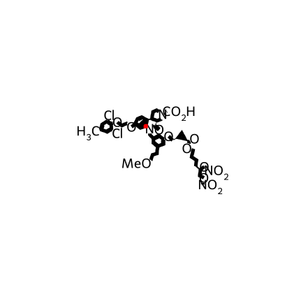 COCCCc1cc(CN(C(=O)[C@H]2CN(C(=O)O)CC[C@@H]2c2ccc(OCCOc3c(Cl)cc(C)cc3Cl)cc2)C2CC2)cc(OC[C@@H]2C[C@H]2C(=O)OCCCC[C@H](CO[N+](=O)[O-])O[N+](=O)[O-])c1